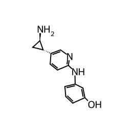 N[C@@H]1C[C@H]1c1ccc(Nc2cccc(O)c2)nc1